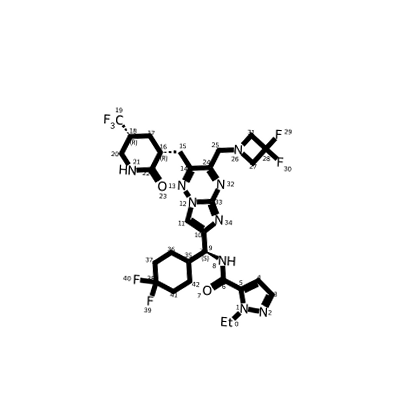 CCn1nccc1C(=O)N[C@H](c1cn2nc(C[C@H]3C[C@@H](C(F)(F)F)CNC3=O)c(CN3CC(F)(F)C3)nc2n1)C1CCC(F)(F)CC1